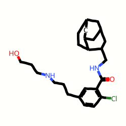 O=C(NCC1CC2CC3CCC1C(C3)C2)c1cc(CCCNCCCO)ccc1Cl